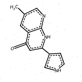 Cc1cnc2[nH]c(-c3cc[nH]c3)cc(=O)c2c1